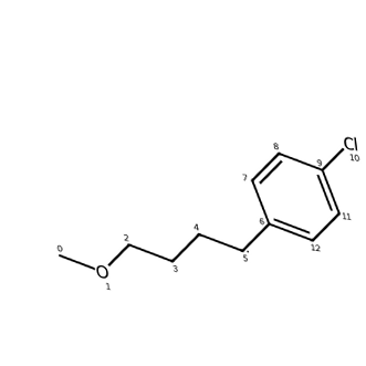 COCCC[CH]c1ccc(Cl)cc1